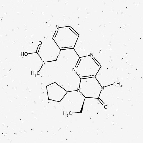 CC[C@@H]1C(=O)N(C)c2cnc(-c3ccncc3CN(C)C(=O)O)nc2N1C1CCCC1